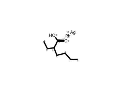 CCCCC(CC)C(=O)O.[Ag].[Rh]